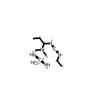 CCN=C=NC(CC)N(C)C.Cl.N=C=N